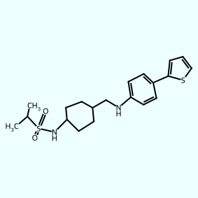 CC(C)S(=O)(=O)NC1CCC(CNc2ccc(-c3cccs3)cc2)CC1